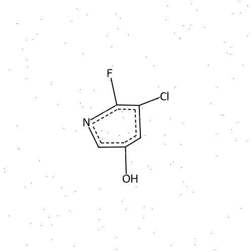 Oc1cnc(F)c(Cl)c1